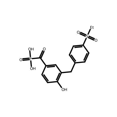 CCS(=O)(=O)c1ccc(Cc2cc(C(=O)P(=O)(O)O)ccc2O)cc1